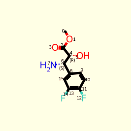 COC(=O)[C@H](O)[C@@H](N)c1ccc(F)c(F)c1